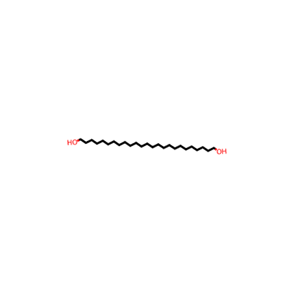 OCCCCCCCCCCCCCCCCCCCCCCCCCO